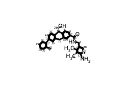 Cc1c(CNC(=O)c2ccc3c(c2)Cc2cc(-c4ccccc4F)ccc2[C@@H]3CO)cnc(N)c1C